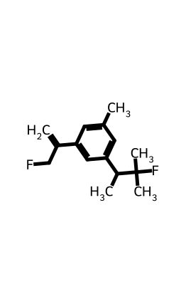 C=C(CF)c1cc(C)cc(C(C)C(C)(C)F)c1